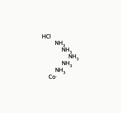 Cl.N.N.N.N.N.[Co]